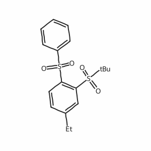 CCc1ccc(S(=O)(=O)c2ccccc2)c(S(=O)(=O)C(C)(C)C)c1